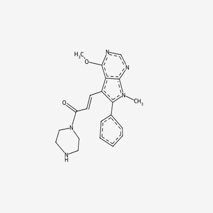 COc1ncnc2c1c(/C=C/C(=O)N1CCNCC1)c(-c1ccccc1)n2C